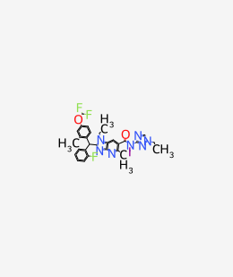 CCn1cnc(N(I)C(=O)c2cc3c(nc2C)nc(C(c2ccc(OC(F)F)cc2C)c2ccccc2F)n3CC)n1